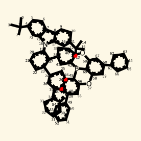 CC(C)(C)c1ccc2c3ccc(C(C)(C)C)cc3n(-c3cccc(-c4ccc5sc6ccccc6c5c4)c3-c3ccc4c(c3)B3c5ccc(-c6ccccc6)cc5Oc5cc(-c6ccccc6)cc(c53)O4)c2c1